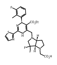 CCOC(=O)C1=C(CN2CC(F)(F)[C@@H]3[C@H]2CCN3CC(=O)O)NC(c2nccs2)=N[C@H]1c1cccc(F)c1C